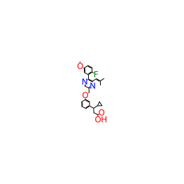 COc1ccc(F)c(-c2ncc(COc3cccc(C(CC(=O)O)C4CC4)c3)nc2C=C(C)C)c1